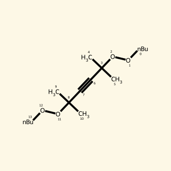 CCCCOOC(C)(C)C#CC(C)(C)OOCCCC